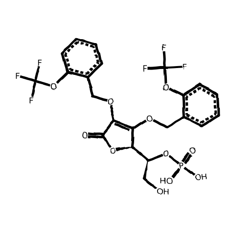 O=C1O[C@H]([C@H](CO)OP(=O)(O)O)C(OCc2ccccc2OC(F)(F)F)=C1OCc1ccccc1OC(F)(F)F